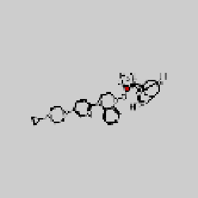 NC(=O)C12CC3C[C@H](C1)C(NC(=O)ON1CCN(c4ccc(N5CCN(C6CC6)CC5)cn4)c4ccccc41)[C@@H](C3)C2